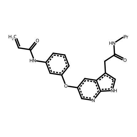 C=CC(=O)Nc1cccc(Oc2cnc3[nH]cc(CC(=O)NC(C)C)c3c2)c1